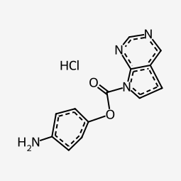 Cl.Nc1ccc(OC(=O)n2ccc3cncnc32)cc1